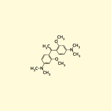 C=C(c1ccc(N(C)C)cc1OC)c1ccc(N(C)C)cc1OC